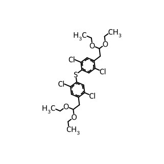 CCOC(Cc1cc(Cl)c(Sc2cc(Cl)c(CC(OCC)OCC)cc2Cl)cc1Cl)OCC